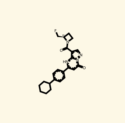 O=C(c1cnn2c(=O)cc(-c3ccc(C4CCCCC4)cc3)[nH]c12)N1CC[C@@H]1CF